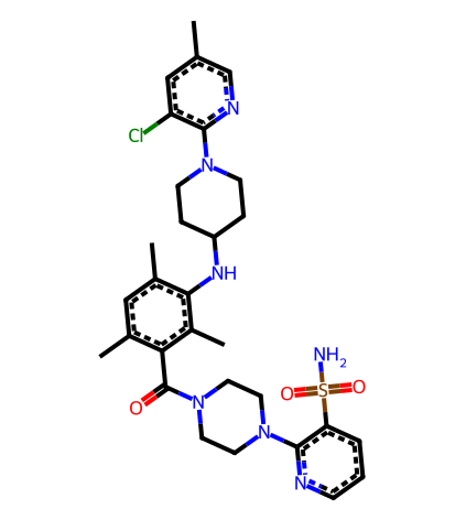 Cc1cnc(N2CCC(Nc3c(C)cc(C)c(C(=O)N4CCN(c5ncccc5S(N)(=O)=O)CC4)c3C)CC2)c(Cl)c1